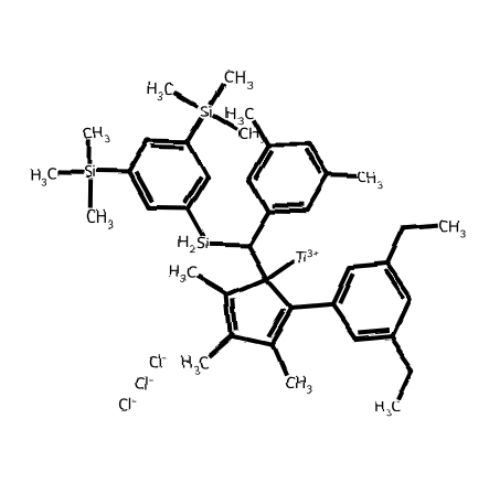 CCc1cc(CC)cc(C2=C(C)C(C)=C(C)[C]2([Ti+3])C([SiH2]c2cc([Si](C)(C)C)cc([Si](C)(C)C)c2)c2cc(C)cc(C)c2)c1.[Cl-].[Cl-].[Cl-]